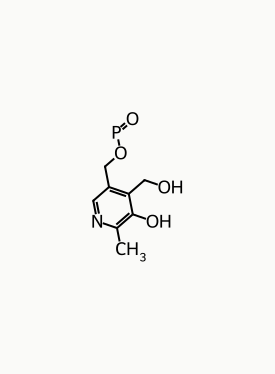 Cc1ncc(COP=O)c(CO)c1O